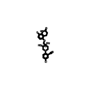 N#Cc1cc(Cl)ccc1N1CC[C@@](O)(COc2ccc(F)c3c2CCC(=O)N3)[C@H](O)C1